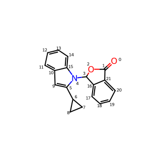 O=C1OC(n2c(C3CC3)cc3ccccc32)c2ccccc21